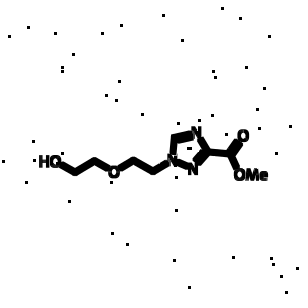 COC(=O)c1ncn(CCOCCO)n1